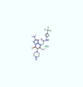 CCc1c(N2CCNCC2)c(=O)n2nc(N(C)C)nc2n1CC(=O)NC12CC(C(F)(F)F)(C1)C2.Cl